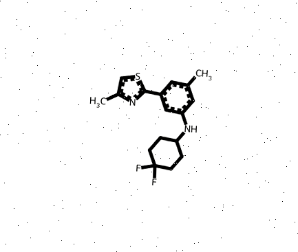 Cc1cc(NC2CCC(F)(F)CC2)cc(-c2nc(C)cs2)c1